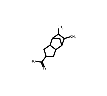 CC1C(C)C2CC1C1CC(C(=O)O)CC21